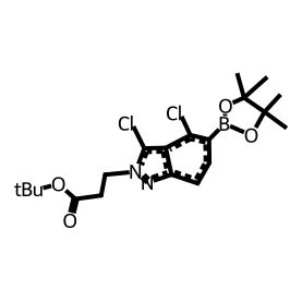 CC(C)(C)OC(=O)CCn1nc2ccc(B3OC(C)(C)C(C)(C)O3)c(Cl)c2c1Cl